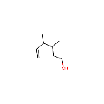 C=CC(C)C(C)CCO